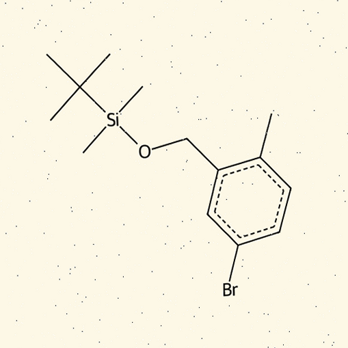 Cc1ccc(Br)cc1CO[Si](C)(C)C(C)(C)C